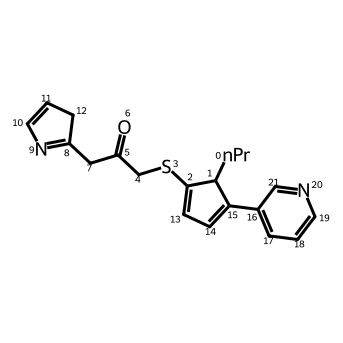 CCCC1C(SCC(=O)CC2=NC=CC2)=CC=C1c1cccnc1